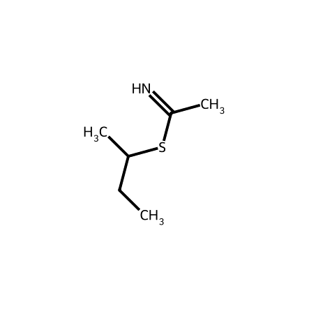 CCC(C)SC(C)=N